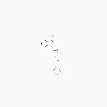 CCN(CC(=O)Nc1cccc(Cl)n1)C(=O)Cn1nc(C(N)=O)c2ccccc21